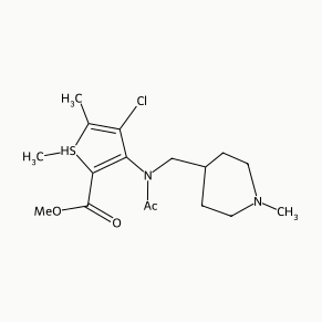 COC(=O)C1=C(N(CC2CCN(C)CC2)C(C)=O)C(Cl)=C(C)[SH]1C